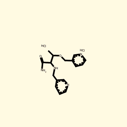 CC(OCc1cccnc1)C(NCc1cccnc1)C(N)=O.Cl.Cl